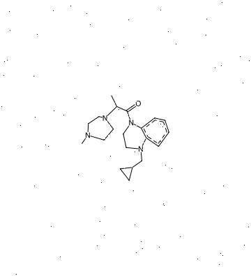 CC(C(=O)N1CCN(CC2CC2)c2ccccc21)N1CCN(C)CC1